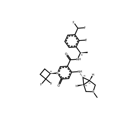 C[C@@H](NC(=O)c1cn([C@@H]2CCC2(F)F)c(=O)cc1N[C@@H]1[C@@H]2CN(C)C[C@@H]21)c1cccc(C(F)F)c1F